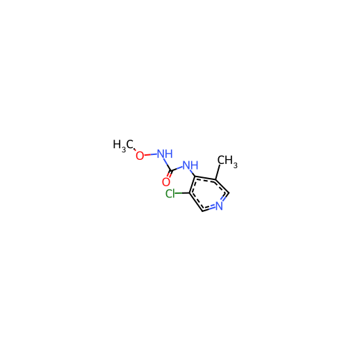 CONC(=O)Nc1c(C)cncc1Cl